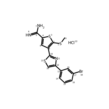 CSc1sc(C(=N)N)cc1-c1nc(-c2cccc(Br)c2)cs1.Cl